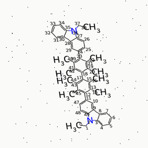 CCn1c2ccccc2c2cc(-c3c(C)c(C)c(-c4c(C)c(C)c(-c5ccc6c(c5)c5ccccc5n6CC)c(C)c4C)c(C)c3C)ccc21